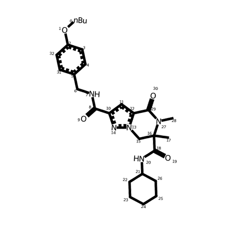 CCCCOc1ccc(CNC(=O)c2cc3n(n2)CC(C)(C(=O)NC2CCCCC2)N(C)C3=O)cc1